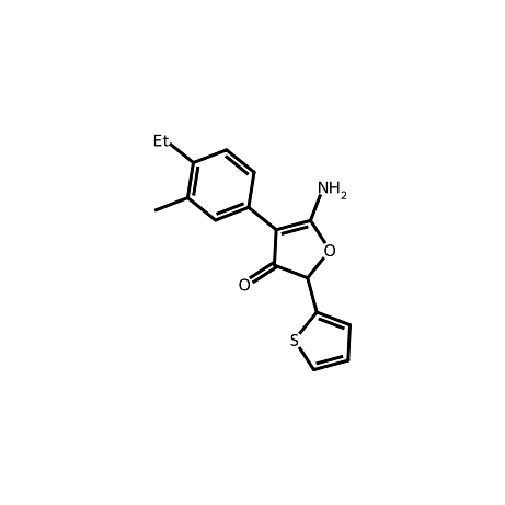 CCc1ccc(C2=C(N)OC(c3cccs3)C2=O)cc1C